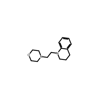 [c]1ccc2c(c1)N(CCN1CCOCC1)CCC2